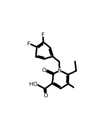 CCc1c(C)cc(C(=O)O)c(=O)n1Cc1ccc(F)c(F)c1